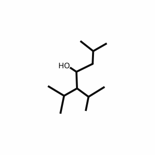 CC(C)CC(O)C(C(C)C)C(C)C